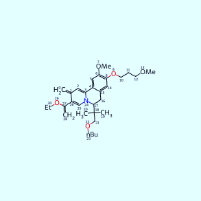 C=C1C=C2c3cc(OC)c(OCCCOC)cc3CC(C(C)(C)COCCCC)N2C=C1C(=C)OCC